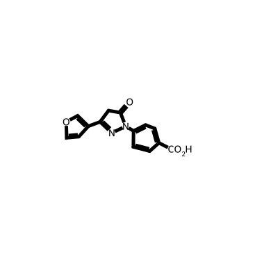 O=C(O)c1ccc(N2N=C(c3ccoc3)CC2=O)cc1